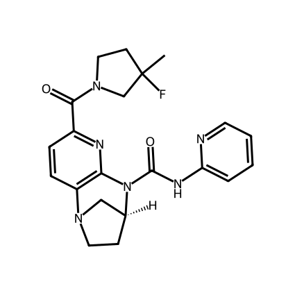 CC1(F)CCN(C(=O)c2ccc3c(n2)N(C(=O)Nc2ccccn2)[C@H]2CCN3C2)C1